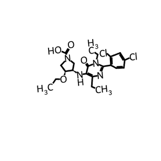 CCO[C@H]1CN(C(=O)O)C[C@H]1Nc1c(CC)nc(-c2ccc(Cl)cc2Cl)n(CC)c1=O